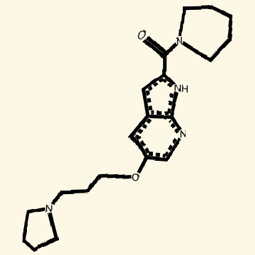 O=C(c1cc2cc(OCCCN3CCCC3)cnc2[nH]1)N1CCCCC1